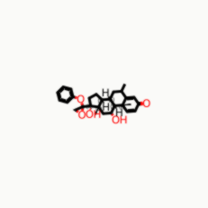 CC1C[C@@H]2[C@H](C(O)C[C@@]3(C)[C@H]2CC[C@]3(O)C2(Oc3ccccc3)CO2)[C@@]2(C)C=CC(=O)C=C12